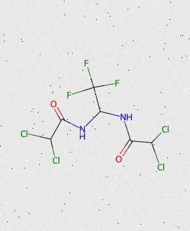 O=C(NC(NC(=O)C(Cl)Cl)C(F)(F)F)C(Cl)Cl